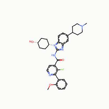 COc1ccccc1-c1nccc(C(=O)Nc2nc3cc(C4CCN(C)CC4)ccc3n2[C@H]2CC[C@@H](O)CC2)c1F